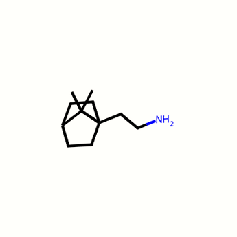 CC1(C)C2CCC1(CCN)CC2